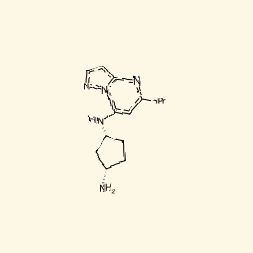 CC(C)c1cc(N[C@@H]2CC[C@H](N)C2)n2nccc2n1